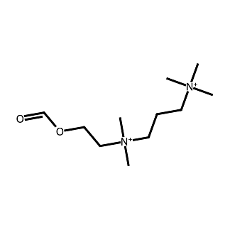 C[N+](C)(C)CCC[N+](C)(C)CCOC=O